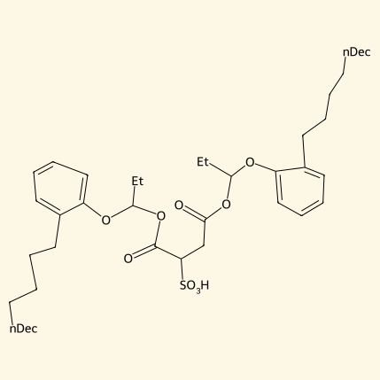 CCCCCCCCCCCCCCc1ccccc1OC(CC)OC(=O)CC(C(=O)OC(CC)Oc1ccccc1CCCCCCCCCCCCCC)S(=O)(=O)O